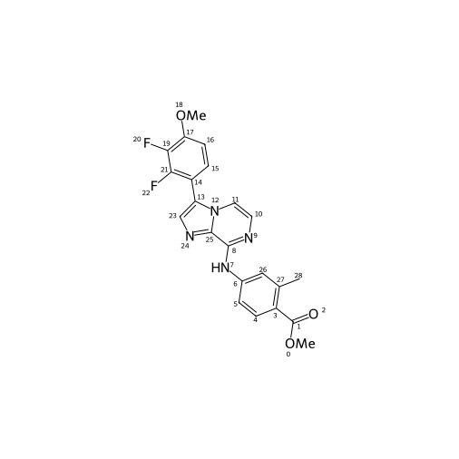 COC(=O)c1ccc(Nc2nccn3c(-c4ccc(OC)c(F)c4F)cnc23)cc1C